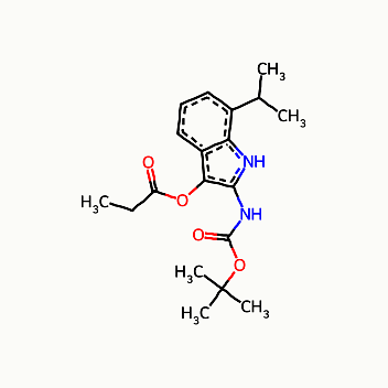 CCC(=O)Oc1c(NC(=O)OC(C)(C)C)[nH]c2c(C(C)C)cccc12